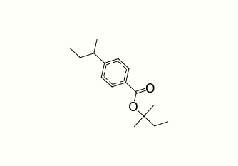 CCC(C)c1ccc(C(=O)OC(C)(C)CC)cc1